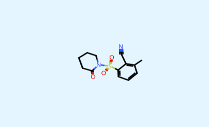 Cc1cccc(S(=O)(=O)N2CCCCC2=O)c1C#N